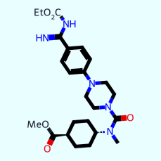 CCOC(=O)NC(=N)c1ccc(N2CCN(C(=O)N(C)[C@H]3CC[C@H](C(=O)OC)CC3)CC2)cc1